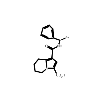 CC[C@@H](NC(=O)c1cc(C(=O)O)n2c1CCCC2)c1ccccc1